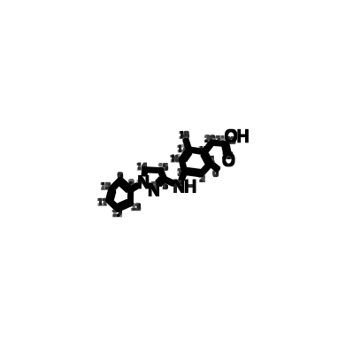 Cc1cc(NC2=NN(c3ccccc3)CC2)cc(C)c1CC(=O)O